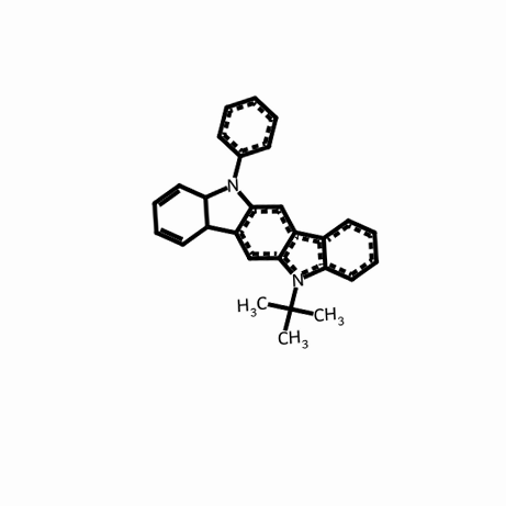 CC(C)(C)n1c2ccccc2c2cc3c(cc21)C1C=CC=CC1N3c1ccccc1